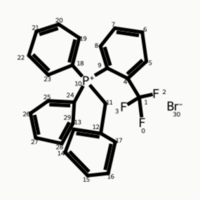 FC(F)(F)c1ccccc1[P+](Cc1ccccc1)(c1ccccc1)c1ccccc1.[Br-]